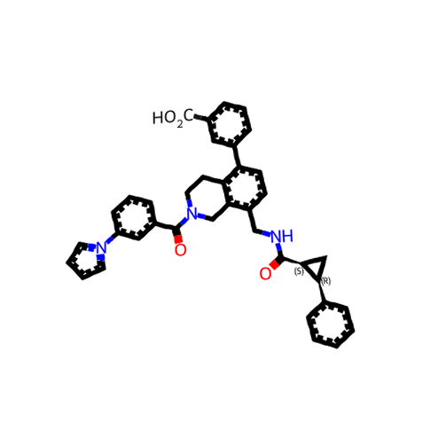 O=C(O)c1cccc(-c2ccc(CNC(=O)[C@H]3C[C@H]3c3ccccc3)c3c2CCN(C(=O)c2cccc(-n4cccc4)c2)C3)c1